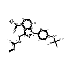 C=CC(=O)NCc1nn(-c2ccc(OC(C)(F)F)cc2)c2nccc(C(N)=O)c12